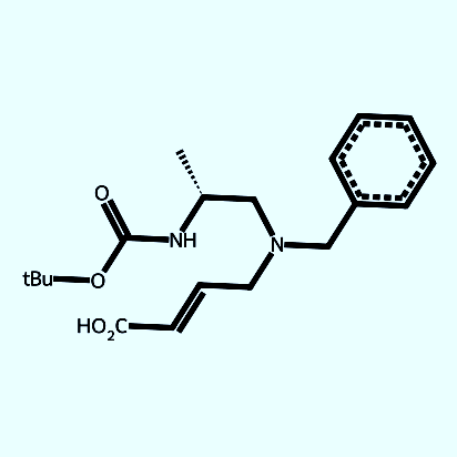 C[C@H](CN(C/C=C/C(=O)O)Cc1ccccc1)NC(=O)OC(C)(C)C